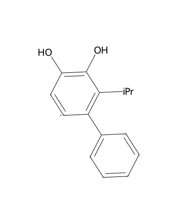 CC(C)c1c(-c2ccccc2)[c]cc(O)c1O